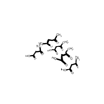 CC(=O)CC(=O)O.CC(=O)CC(=O)O.CC(=O)CC(=O)O.CC(=O)CC(=O)O.CC(=O)CC(=O)O